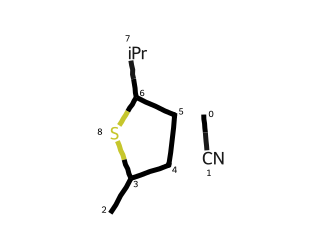 CC#N.CC1CCC(C(C)C)S1